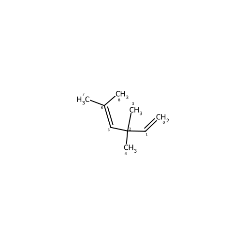 C=CC(C)(C)C=C(C)C